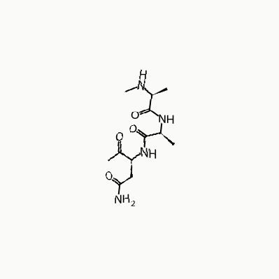 CN[C@@H](C)C(=O)N[C@@H](C)C(=O)N[C@@H](CC(N)=O)C(C)=O